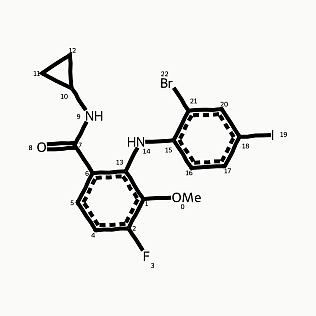 COc1c(F)ccc(C(=O)NC2CC2)c1Nc1ccc(I)cc1Br